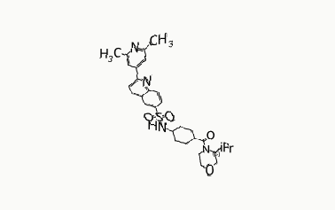 Cc1cc(-c2ccc3cc(S(=O)(=O)NC4CCC(C(=O)N5CCOC[C@@H]5C(C)C)CC4)ccc3n2)cc(C)n1